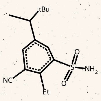 CCc1c(C#N)cc(C(C)C(C)(C)C)cc1S(N)(=O)=O